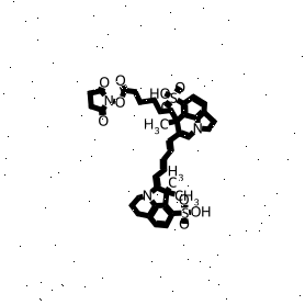 CC1(C)C(=CC=CC=CC2=CN3CCc4ccc(S(=O)(=O)O)c(c43)C2(C)CCCCCC(=O)ON2C(=O)CCC2=O)N2CCCc3ccc(S(=O)(=O)O)c1c32